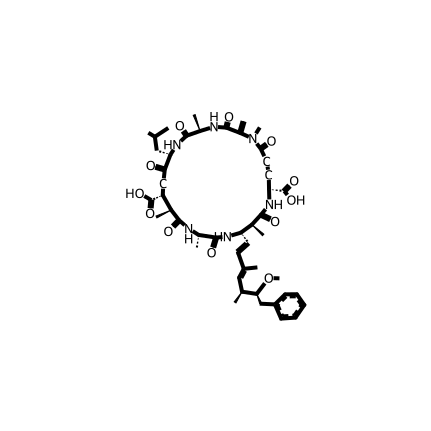 C=C1C(=O)N[C@H](C)C(=O)N[C@@H](CC(C)C)C(=O)C[C@@H](C(=O)O)[C@H](C)C(=O)N[C@@H](C)C(=O)N[C@@H](/C=C/C(C)=C/[C@H](C)[C@H](Cc2ccccc2)OC)[C@H](C)C(=O)N[C@@H](C(=O)O)CCC(=O)N1C